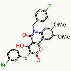 COc1cc2c3oc(=O)c(Sc4cccc(Br)c4)c(O)c3c(=O)n(Cc3ccc(F)cc3)c2cc1OC